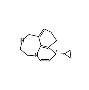 C1=CN2CCNCC3=CCCC(=C32)[C@@H]1C1CC1